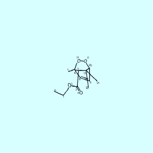 CCOC(=O)C1C2(C)C=CC(OO2)C1(C)C